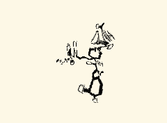 CC(=O)NS(=O)(=O)N1CCC(CCCNS(N)(=O)=O)(NC(=O)c2cc3c(Cl)c(Cl)ccc3n2C)CC1